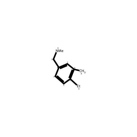 CCc1ccc(CNC)cc1C